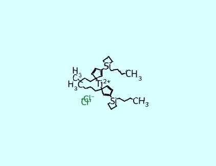 CCCC[C]1([Ti+2][C]2(CCCC)C=CC([Si]3(CCCC)CCC3)=C2)C=CC([Si]2(CCCC)CCC2)=C1.[Cl-].[Cl-]